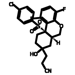 N#CCCC1(O)CC[C@@]2(S(=O)(=O)c3ccc(Cl)cc3)c3c(F)ccc(F)c3OC[C@H]2C1